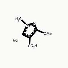 COc1nn(C)cc1C(=O)O.Cl